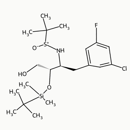 CC(C)(C)[S+]([O-])N[C@@H](Cc1cc(F)cc(Cl)c1)[C@@H](CO)O[Si](C)(C)C(C)(C)C